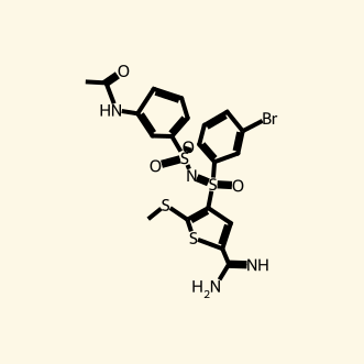 CSc1sc(C(=N)N)cc1S(=O)(=NS(=O)(=O)c1cccc(NC(C)=O)c1)c1cccc(Br)c1